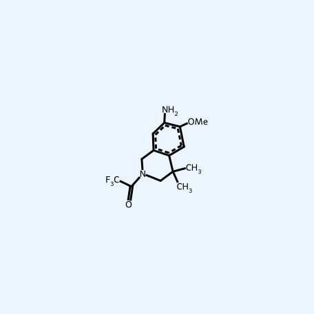 COc1cc2c(cc1N)CN(C(=O)C(F)(F)F)CC2(C)C